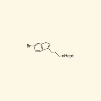 CCCCCCCCCCC1=CCc2cc(Br)ccc21